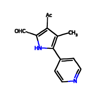 CC(=O)c1c(C=O)[nH]c(-c2ccncc2)c1C